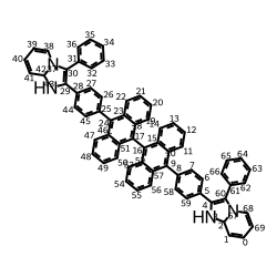 C1=CC2NC(c3ccc(-c4c5ccccc5c(-c5c6ccccc6c(-c6ccc(C7=C(c8ccccc8)N8C=CC=CC8N7)cc6)c6ccccc56)c5ccccc45)cc3)=C(c3ccccc3)N2C=C1